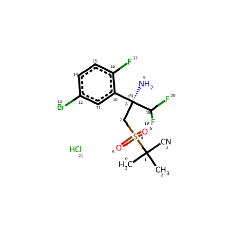 CC(C)(C#N)S(=O)(=O)C[C@@](N)(c1cc(Br)ccc1F)C(F)F.Cl